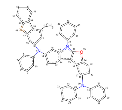 Cc1cc(N(c2ccccc2)c2ccc3c4c5cc(N(c6ccccc6)c6ccccc6)ccc5oc4n(-c4ccccc4)c3c2)cc2sc3ccccc3c12